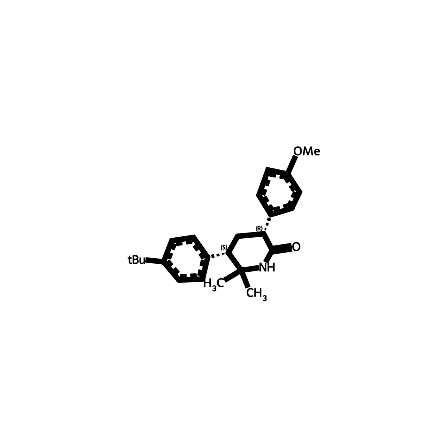 COc1ccc([C@H]2C[C@@H](c3ccc(C(C)(C)C)cc3)C(C)(C)NC2=O)cc1